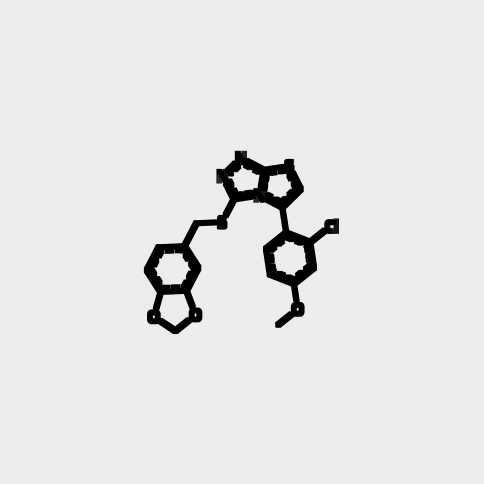 COc1ccc(-c2csc3nnc(SCc4ccc5c(c4)OCO5)n23)c(Cl)c1